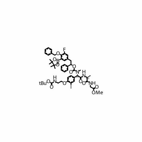 COC(=O)CNC(=O)[C@H](C)NC(=O)[C@H](c1ccc(OCCNC(=O)OC(C)(C)C)c(I)c1)N(C)C(=O)OC(Cc1cc(F)c(OCc2ccccc2)c(B2OC(C)(C)C(C)(C)O2)c1)c1ccccc1